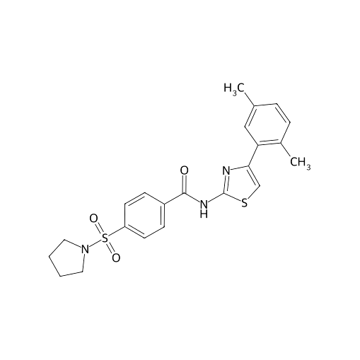 Cc1ccc(C)c(-c2csc(NC(=O)c3ccc(S(=O)(=O)N4CCCC4)cc3)n2)c1